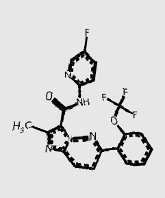 Cc1nc2ccc(-c3ccccc3OC(F)(F)F)nn2c1C(=O)Nc1ccc(F)cn1